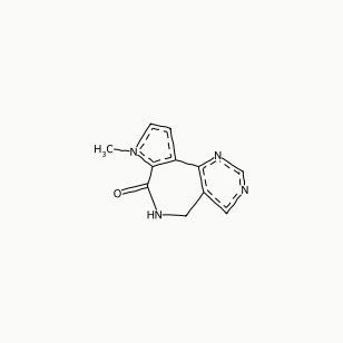 Cn1ccc2c1C(=O)NCc1cncnc1-2